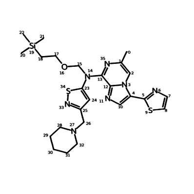 Cc1cn2c(-c3nccs3)cnc2c(N(COCC[Si](C)(C)C)c2cc(CN3CCCCC3)ns2)n1